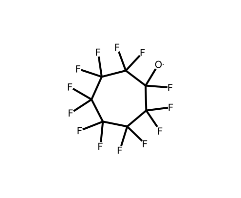 [O]C1(F)C(F)(F)C(F)(F)C(F)(F)C(F)(F)C(F)(F)C1(F)F